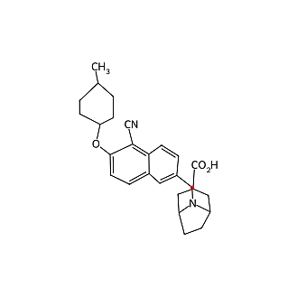 CC1CCC(Oc2ccc3cc(CN4C5CCC4CC(C(=O)O)C5)ccc3c2C#N)CC1